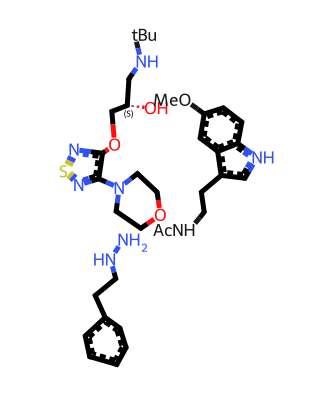 CC(C)(C)NC[C@H](O)COc1nsnc1N1CCOCC1.COc1ccc2[nH]cc(CCNC(C)=O)c2c1.NNCCc1ccccc1